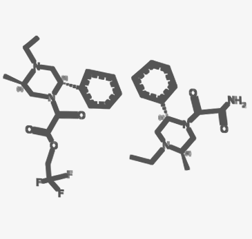 CCN1C[C@H](c2ccccc2)N(C(=O)C(=O)OCC(F)(F)F)C[C@H]1C.CCN1C[C@H](c2ccccc2)N(C(=O)C(N)=O)C[C@H]1C